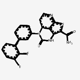 NC(=O)c1sc2nccc3c2c1NC(=O)N3c1cccc(-c2cccc(F)c2F)c1